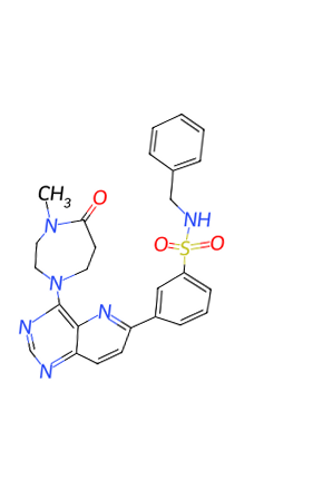 CN1CCN(c2ncnc3ccc(-c4cccc(S(=O)(=O)NCc5ccccc5)c4)nc23)CCC1=O